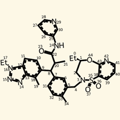 CC[C@@H]1CN(Cc2cc(C(c3ccc4c(nnn4CC)c3C)C(C)C(=O)Nc3cccnc3)ccc2C)S(=O)(=O)c2cccnc2O1